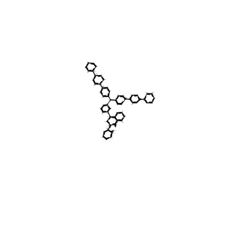 c1ccc(-c2ccc(-c3ccc(C(c4ccc(-c5ccc(-c6ccccc6)cc5)cc4)c4cccc(-c5cc6c7ccccc7oc6c6ccccc56)c4)cc3)cc2)cc1